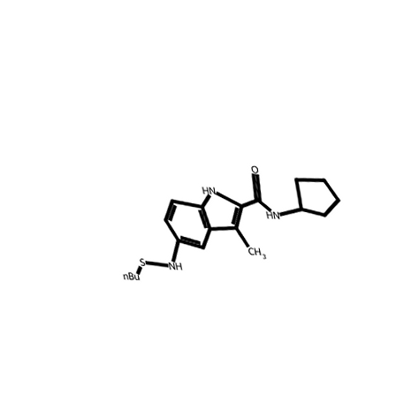 CCCCSNc1ccc2[nH]c(C(=O)NC3CCCC3)c(C)c2c1